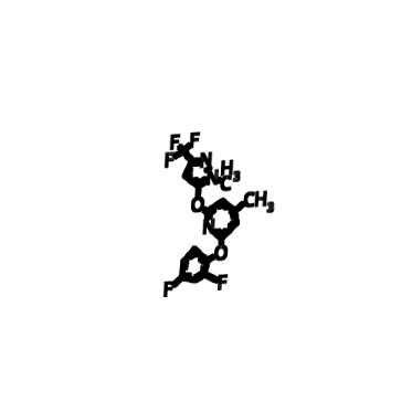 Cc1cc(Oc2ccc(F)cc2F)nc(Oc2cc(C(F)(F)F)nn2C)c1